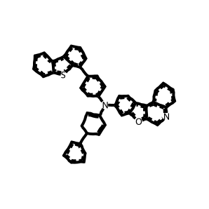 C1=CC(c2ccccc2)CC=C1N(c1ccc(-c2cccc3c2sc2ccccc23)cc1)c1ccc2c(c1)oc1cnc3ccccc3c12